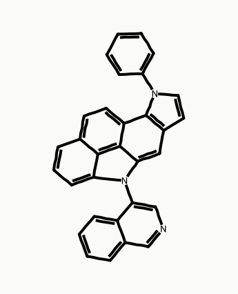 c1ccc(-n2ccc3cc4c5c(ccc6cccc(c65)n4-c4cncc5ccccc45)c32)cc1